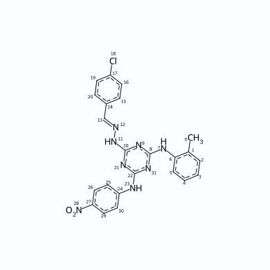 Cc1ccccc1Nc1nc(NN=Cc2ccc(Cl)cc2)nc(Nc2ccc([N+](=O)[O-])cc2)n1